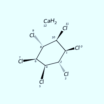 Cl[C@H]1[C@H](Cl)[C@@H](Cl)[C@@H](Cl)[C@H](Cl)[C@H]1Cl.[CaH2]